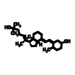 CC1CC[C@H](O)C/C1=C/C=C1\CCC[C@]2(C)[C@@H]([C@H](C)CCCC(C)(C)O)CC[C@@H]12